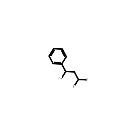 CCC(CC(F)F)c1ccccc1